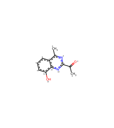 CC(=O)c1nc(C)c2cccc(O)c2n1